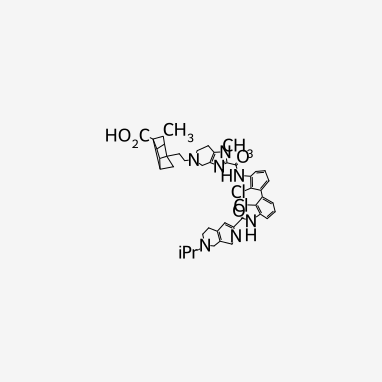 CC(C)N1CCc2cc(C(=O)Nc3cccc(-c4cccc(NC(=O)c5nc6c(n5C)CCN(CCC57CC8C5C5C7C(C)C85C(=O)O)C6)c4Cl)c3Cl)ncc2C1